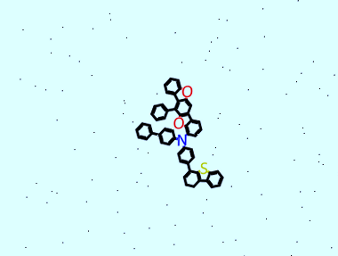 C1=C(c2ccc(N(c3ccc(-c4ccccc4)cc3)c3cccc4c3oc3c(-c5ccccc5)c5c(cc34)oc3ccccc35)cc2)c2sc3ccccc3c2CC1